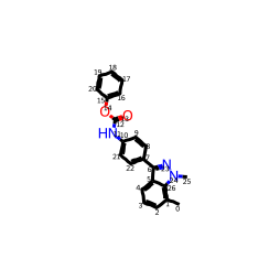 Cc1cccc2c(-c3ccc(NC(=O)Oc4ccccc4)cc3)nn(C)c12